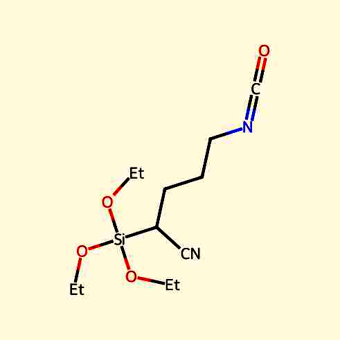 CCO[Si](OCC)(OCC)C(C#N)CCCN=C=O